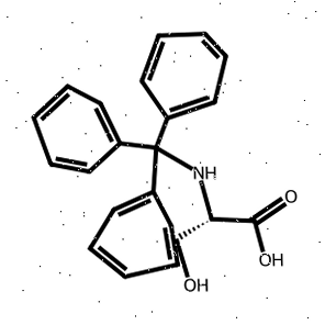 O=C(O)[C@H](CO)NC(c1ccccc1)(c1ccccc1)c1ccccc1